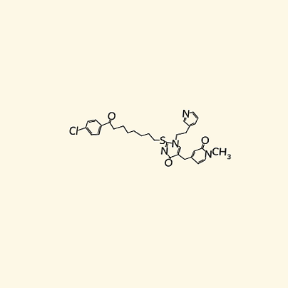 Cn1ccc(Cc2cn(CCc3cccnc3)c(SCCCCCCCC(=O)c3ccc(Cl)cc3)nc2=O)cc1=O